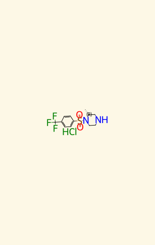 C[C@@H]1CNCCN1S(=O)(=O)c1ccc(C(F)(F)F)cc1.Cl